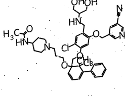 CC(=O)NC1CCN(CCCOC2(COc3cc(OCc4cncc(C#N)c4)c(CNC(CO)CO)cc3Cl)C=CC=C(c3ccccc3)C2(C)Cl)CC1